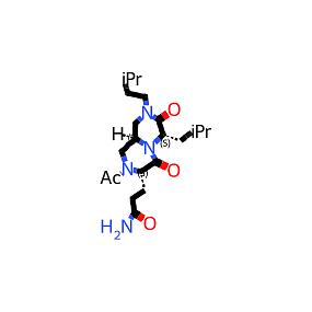 CC(=O)N1C[C@H]2CN(CCC(C)C)C(=O)[C@H](CC(C)C)N2C(=O)[C@@H]1CCC(N)=O